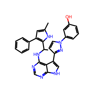 Cc1cc(-c2ccccc2)c(C(C)Nc2ncnc3[nH]cc(-c4ccn(-c5cccc(O)c5)n4)c23)[nH]1